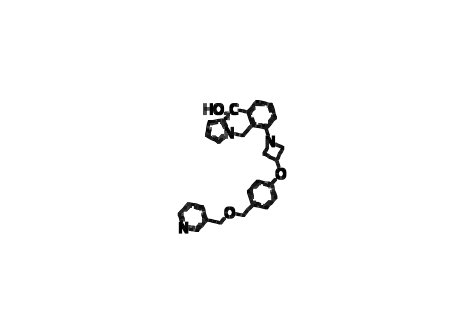 O=C(O)c1cccc(N2CC(Oc3ccc(COCc4cccnc4)cc3)C2)c1Cn1cccc1